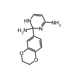 NC1=NC(N)(c2ccc3c(c2)OCCO3)NC=C1